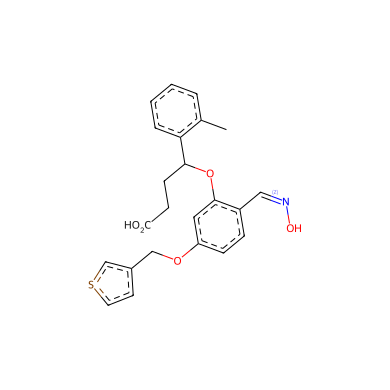 Cc1ccccc1C(CCC(=O)O)Oc1cc(OCc2ccsc2)ccc1/C=N\O